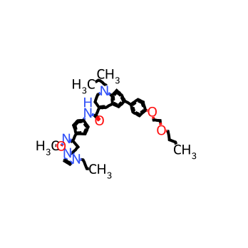 CCCCOCCOc1ccc(-c2ccc3c(c2)C=C(C(=O)Nc2ccc(/C(Cc4nccn4CCC)=N/OC)cc2)CCN3CC(C)C)cc1